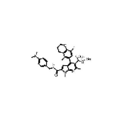 Cc1nc2c(cc(C(=O)NCc3ccc(N(C)C)cc3)n2C)c(-c2cc(F)c3c(c2C)CCCO3)c1[C@H](OC(C)(C)C)C(=O)O